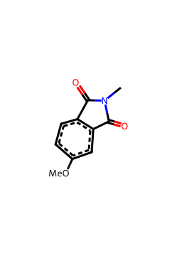 COc1ccc2c(c1)C(=O)N(C)C2=O